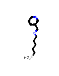 O=C(O)CCCCCN=Cc1cccnc1